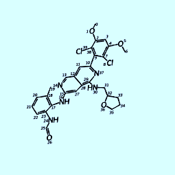 COc1cc(OC)c(Cl)c(-c2cc3cnc(Nc4c(C)cccc4NC=O)cc3c(NCC3CCCO3)n2)c1Cl